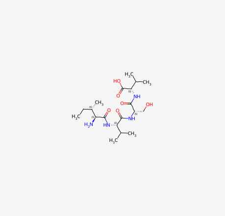 CC[C@H](C)[C@H](N)C(=O)N[C@H](C(=O)N[C@@H](CO)C(=O)N[C@H](C(=O)O)C(C)C)C(C)C